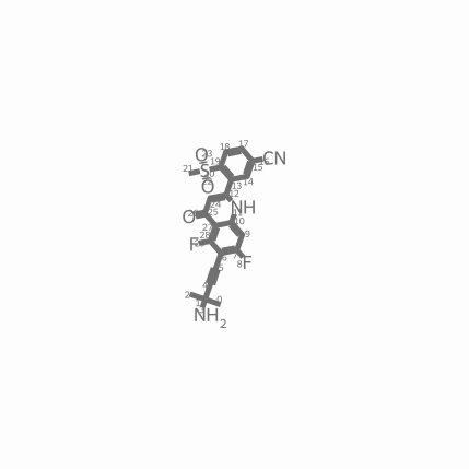 CC(C)(N)C#Cc1c(F)cc2[nH]c(-c3cc(C#N)ccc3S(C)(=O)=O)cc(=O)c2c1F